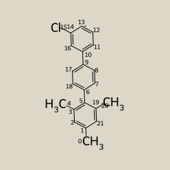 Cc1cc(C)c(-c2ccc(-c3cc[c]c(Cl)c3)cc2)c(C)c1